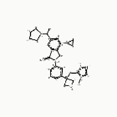 CC(c1cc2c(c(C3CC3)n1)CN(c1cccc(C3(Cc4nncn4C)COC3)c1)C2=O)N1CCCC1